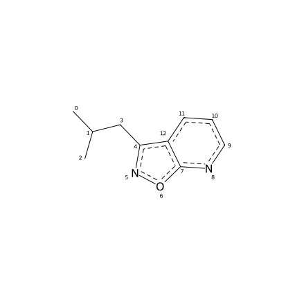 CC(C)Cc1noc2ncccc12